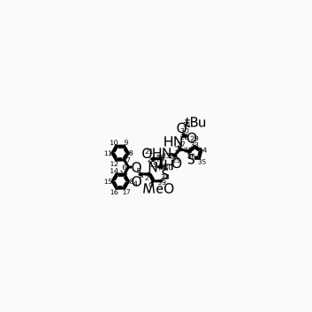 COC1=C(C(=O)OC(c2ccccc2)c2ccccc2)N2C(=O)[C@@H](NC(=O)C(NC(=O)OC(C)(C)C)c3cccs3)[C@@H]2SC1